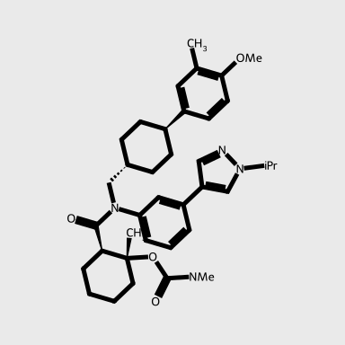 CNC(=O)O[C@]1(C)CCCC[C@H]1C(=O)N(C[C@H]1CC[C@H](c2ccc(OC)c(C)c2)CC1)c1cccc(-c2cnn(C(C)C)c2)c1